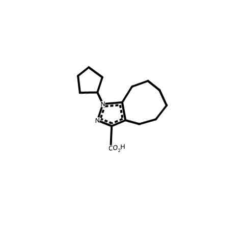 O=C(O)c1nn(C2CCCC2)c2c1CCCCCC2